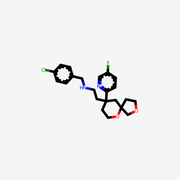 Fc1ccc(C2(CCNCc3ccc(Cl)cc3)CCOC3(CCOC3)C2)nc1